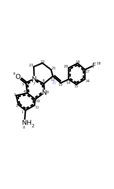 Nc1ccc2c(=O)n3c(nc2c1)/C(=C/c1ccc(F)cc1)CCC3